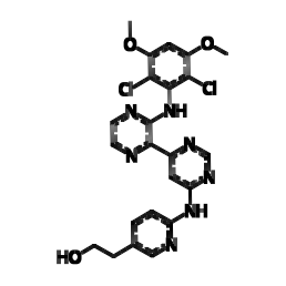 COc1cc(OC)c(Cl)c(Nc2nccnc2-c2cc(Nc3ccc(CCO)cn3)ncn2)c1Cl